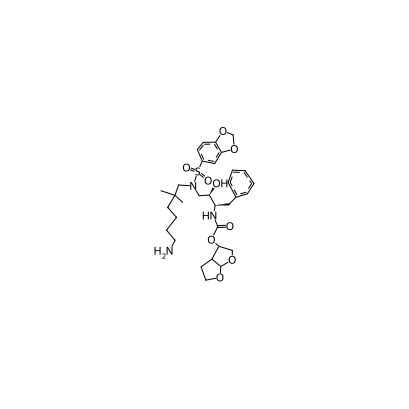 CC(C)(CCCCN)CN(C[C@@H](O)[C@@H](Cc1ccccc1)NC(=O)OC1COC2OCCC12)S(=O)(=O)c1ccc2c(c1)OCO2